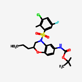 Cc1c(Cl)cc(F)cc1S(=O)(=O)N1CC(CCC(=O)O)Oc2ccc(NC(=O)OC(C)(C)C(F)(F)F)cc21